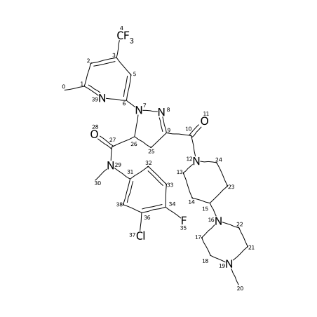 Cc1cc(C(F)(F)F)cc(N2N=C(C(=O)N3CCC(N4CCN(C)CC4)CC3)CC2C(=O)N(C)c2ccc(F)c(Cl)c2)n1